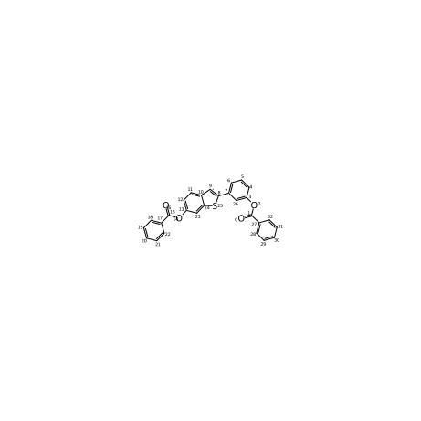 O=C(Oc1cccc(-c2[c]c3ccc(OC(=O)c4ccccc4)cc3s2)c1)c1ccccc1